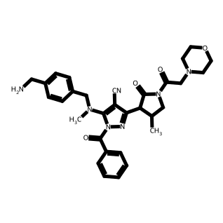 CC1CN(C(=O)CN2CCOCC2)C(=O)C1c1nn(C(=O)c2ccccc2)c(N(C)Cc2ccc(CN)cc2)c1C#N